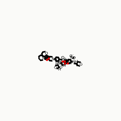 O=C(NS(=O)(=O)c1ccc(NCC2CCOCC2)c([N+](=O)[O-])c1)c1ccc(N2CCC3(CC2)CC(N2CCCCCC24CCCOc2ccccc24)C3)cc1N1c2cc3cc[nH]c3nc2O[C@@H]2COC[C@H]21